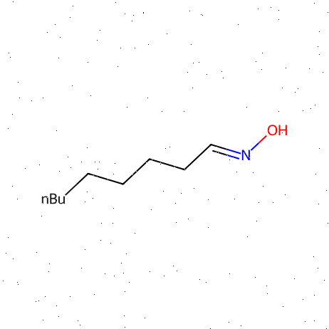 CCCCCCCCC=NO